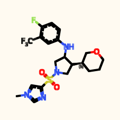 Cn1cnc(S(=O)(=O)N2CC(Nc3ccc(F)c(C(F)(F)F)c3)C([C@@H]3CCCOC3)C2)c1